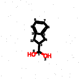 OC(O)C1Cc2ccccc2C1